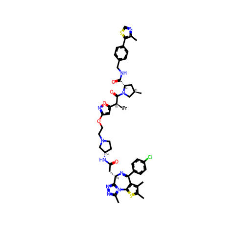 Cc1ncsc1-c1ccc(CNC(=O)[C@@H]2C[C@@H](C)CN2C(=O)[C@H](c2cc(OCCN3CC[C@H](NC(=O)C[C@@H]4N=C(c5ccc(Cl)cc5)c5c(sc(C)c5C)-n5c(C)nnc54)C3)no2)C(C)C)cc1